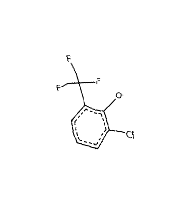 [O]c1c(Cl)cccc1C(F)(F)F